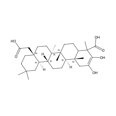 CC1(C)CC[C@]2(CC(=O)O)CC[C@]3(C)[C@H](CC[C@@H]4[C@@]5(C)CC(O)=C(O)C(C)(C(=O)O)C5CC[C@]43C)[C@H]2C1